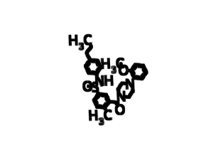 CCCc1ccc(N[S+]([O-])c2ccc(C)c(C(=O)N3CCN(c4ccccc4OC)CC3)c2)cc1